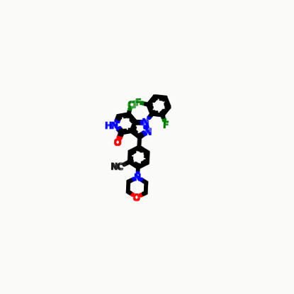 N#Cc1cc(-c2nn(-c3c(F)cccc3F)c3c(Cl)c[nH]c(=O)c23)ccc1N1CCOCC1